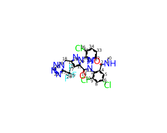 CNC(=O)c1cc(Cl)cc(Cl)c1NC(=O)c1cc(Cn2nnnc2C(F)(F)F)nn1-c1ncccc1Cl